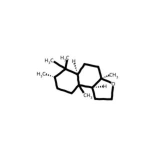 C[C@H]1CCC2(C)[C@H](CC[C@@]3(C)OCC[C@@H]23)C1(C)C